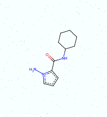 Nn1cccc1C(=O)NC1CCCCC1